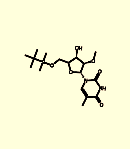 CO[C@@H]1[C@H](O)C(CO[Si](C)(C)C(C)(C)C)O[C@H]1n1cc(C)c(=O)[nH]c1=O